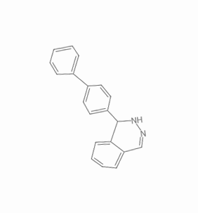 C1=NNC(c2ccc(-c3ccccc3)cc2)c2ccccc21